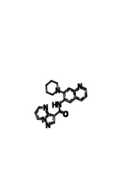 O=C(Nc1cc2cccnc2cc1N1CCCCC1)c1cnn2cccnc12